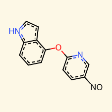 O=Nc1ccc(Oc2cccc3[nH]ccc23)nc1